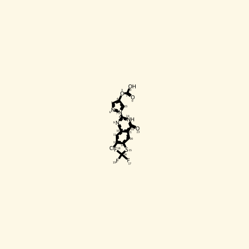 O=C(O)Oc1cnn(-c2nc3cc(Cl)c(SC(F)(F)F)cc3c(=O)[nH]2)c1